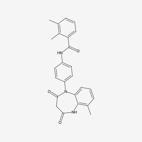 Cc1cccc(C(=O)Nc2ccc(N3C(=O)CC(=O)Nc4c(C)cccc43)cc2)c1C